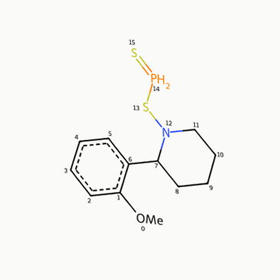 COc1ccccc1C1CCCCN1S[PH2]=S